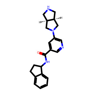 O=C(NC1CCc2ccccc21)c1cncc(N2C[C@H]3CNC[C@H]3C2)c1